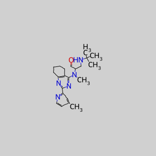 Cc1ccnc(-c2nc3c(c(N(C)C(C=O)CNC(C)(C)C)n2)CCCC3)c1